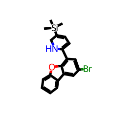 C[Si](C)(C)C1=CC=C(c2cc(Br)cc3c2oc2ccccc23)NC1